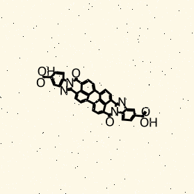 O=C(O)c1ccc2c(c1)nc1c3ccc4c5ccc6c(=O)n7c8ccc(C(=O)O)cc8nc7c7ccc(c8ccc(c(=O)n21)c3c84)c5c67